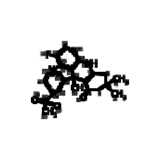 CC1(C)CC(=O)C2=C(C1)Nc1ncc(F)c(C#N)c1[C@@]2(C)c1cccc(S(C)(=O)=O)c1